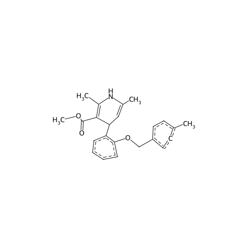 COC(=O)C1=C(C)NC(C)=CC1c1ccccc1OCc1ccc(C)cc1